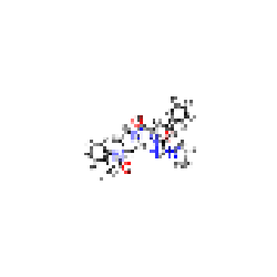 CC1(C)C(=O)N(C2CCN(C(=O)C(CCc3ccccc3)NC(=O)CN3CCCC3)CC2)c2ccccc21